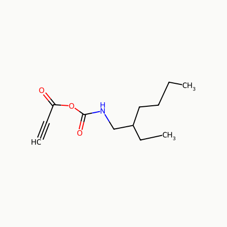 C#CC(=O)OC(=O)NCC(CC)CCCC